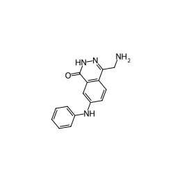 NCc1n[nH]c(=O)c2cc(Nc3ccccc3)ccc12